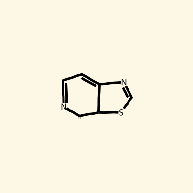 [C]1N=CC=C2N=CSC12